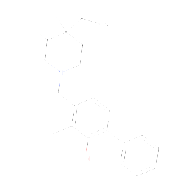 Cc1c(CN2CCC(CC#N)(C(C)(C)C)C(F)C2)ccc(-c2ccccc2)c1O